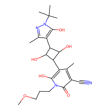 COCCCn1c(O)c(C2C(O)C(c3c(C)nn(C(C)(C)C)c3O)C2O)c(C)c(C#N)c1=O